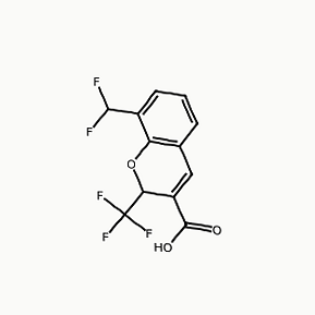 O=C(O)C1=Cc2cccc(C(F)F)c2OC1C(F)(F)F